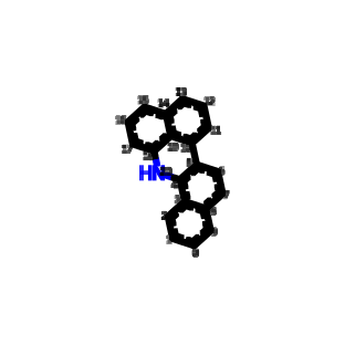 c1ccc2c3c(ccc2c1)-c1cccc2cccc(c12)N3